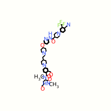 CNC(=O)C(CCC=O)N(C)C(=O)c1ccc(N2CCC(CCN3CCC(Oc4ccc(NC(=O)C5CCN(c6ccc(C#N)c(C(F)(F)F)c6)CC5)nc4)CC3)CC2)cc1C=O